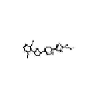 CCOc1ncc(-c2ccc(C3CCC(c4c(F)cccc4F)=N3)cn2)cn1